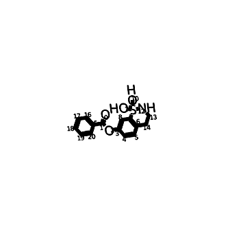 O=C(Oc1ccc2c(c1)S(O)(O)NCC2)c1ccccc1